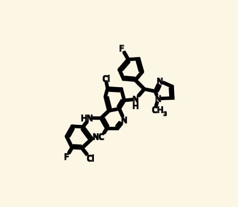 Cn1ccnc1C(Nc1cc(Cl)cc2c(Nc3ccc(F)c(Cl)c3)c(C#N)cnc12)c1ccc(F)cc1